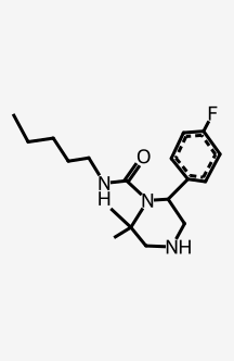 CCCCCNC(=O)N1C(c2ccc(F)cc2)CNCC1(C)C